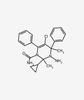 CC1(c2ccccc2)C(Cl)=C(c2ccccc2)N(C(N)=O)C(C)(C2CC2)N1N